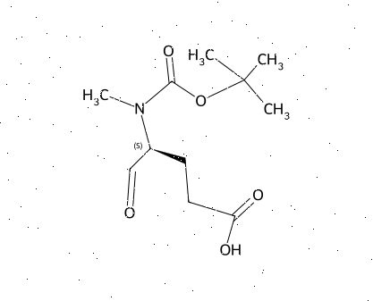 CN(C(=O)OC(C)(C)C)[C@H](C=O)CCC(=O)O